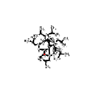 C=CC[Si]12O[Si]3(CC(C)C)O[Si]4(CC(C)C)O[Si](CC(C)C)(O1)O[Si]1(CC(C)C)O[Si](CC(C)C)(O2)O[Si](CC(C)C)(O3)O[Si](CC(C)C)(O4)O1